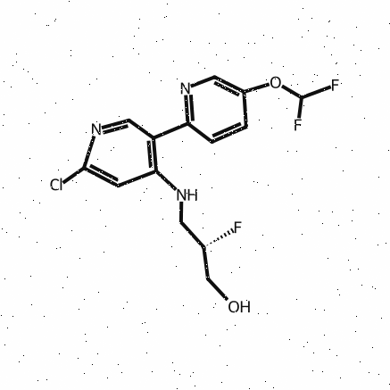 OC[C@@H](F)CNc1cc(Cl)ncc1-c1ccc(OC(F)F)cn1